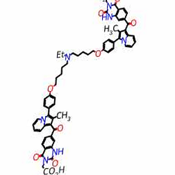 CCN(CCCCCOc1ccc(-c2c(C)c(C(=O)c3ccc4c(=O)n(CC(=O)O)c(=O)[nH]c4c3)c3ccccn23)cc1)CCCCCOc1ccc(-c2c(C)c(C(=O)c3ccc4c(=O)n(CC(=O)O)c(=O)[nH]c4c3)c3ccccn23)cc1